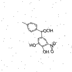 Cc1ccc(C(=O)c2cc(O)c(O)c([N+](=O)[O-])c2)cc1.Cl